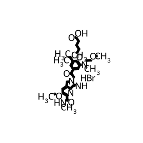 Br.CCOc1cc2c(nc1C(=O)NC)C(=N)N(CC(=O)c1cc(N(C)CCOC)c(OCCCCC(=O)O)c(C(C)(C)C)c1)C2